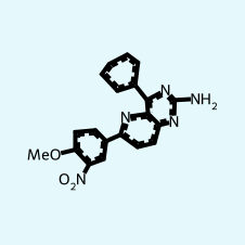 COc1ccc(-c2ccc3nc(N)nc(-c4ccccc4)c3n2)cc1[N+](=O)[O-]